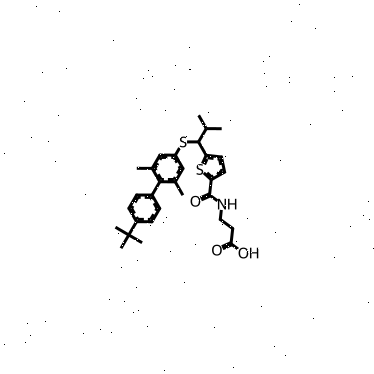 Cc1cc(SC(c2ccc(C(=O)NCCC(=O)O)s2)C(C)C)cc(C)c1-c1ccc(C(C)(C)C)cc1